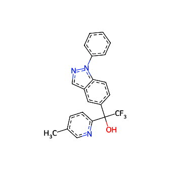 Cc1ccc(C(O)(c2ccc3c(cnn3-c3ccccc3)c2)C(F)(F)F)nc1